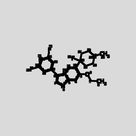 CCOc1cc2ncc(-c3cc(F)nc(F)c3)n2cc1C1(F)CCN(C)CC1